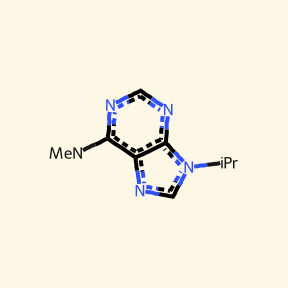 CNc1ncnc2c1ncn2C(C)C